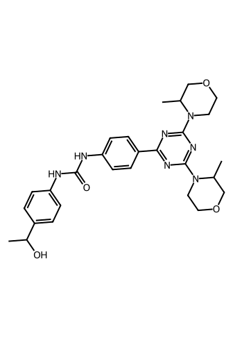 CC(O)c1ccc(NC(=O)Nc2ccc(-c3nc(N4CCOCC4C)nc(N4CCOCC4C)n3)cc2)cc1